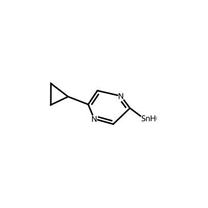 [SnH][c]1cnc(C2CC2)cn1